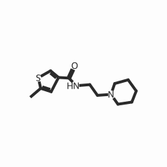 Cc1cc(C(=O)NCCN2CCCCC2)cs1